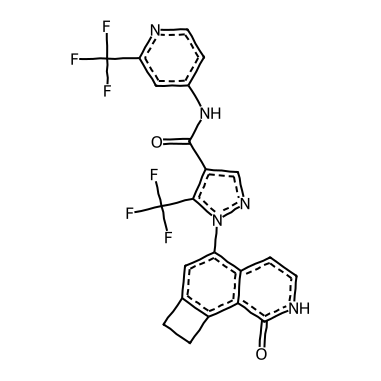 O=C(Nc1ccnc(C(F)(F)F)c1)c1cnn(-c2cc3c(c4c(=O)[nH]ccc24)CC3)c1C(F)(F)F